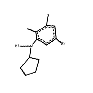 CCN(c1cc(Br)cc(C)c1C)C1CCCC1